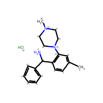 Cc1ccc(C(N)c2ccccc2)c(N2CCN(C)CC2)c1.Cl